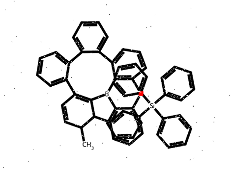 CC1C=CC2=C(B3c4ccccc4Oc4cccc(c43)-c3ccccc3-c3ccccc32)C1c1cccc([Si](c2ccccc2)(c2ccccc2)c2ccccc2)c1